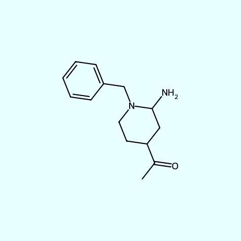 CC(=O)C1CCN(Cc2ccccc2)C(N)C1